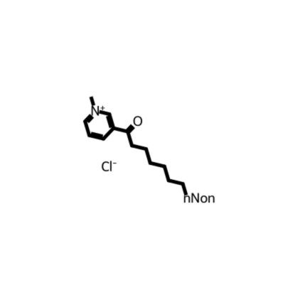 CCCCCCCCCCCCCCCC(=O)c1ccc[n+](C)c1.[Cl-]